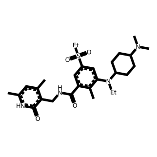 CCN(c1cc(S(=O)(=O)CC)cc(C(=O)NCc2c(C)cc(C)[nH]c2=O)c1C)C1CCC(N(C)C)CC1